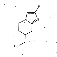 CCC1CCn2cc(F)nc2C1